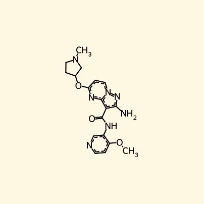 COc1ccncc1NC(=O)c1c(N)nn2ccc(OC3CCN(C)C3)nc12